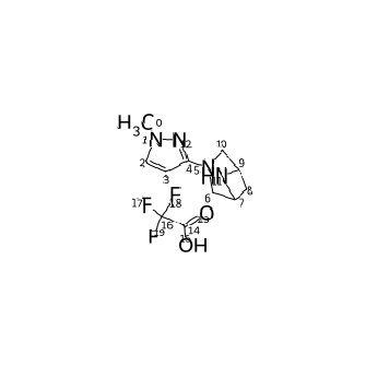 Cn1ccc(N2CC3CC(C2)N3)n1.O=C(O)C(F)(F)F